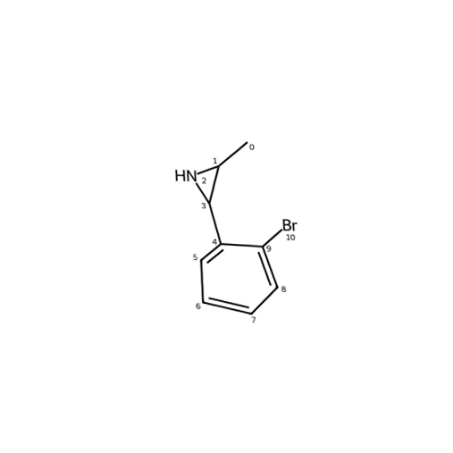 CC1NC1c1ccccc1Br